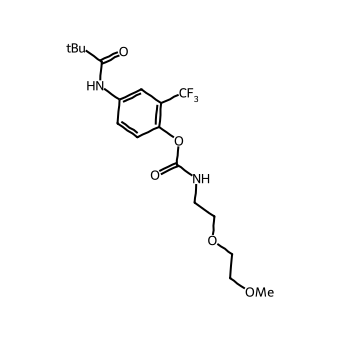 COCCOCCNC(=O)Oc1ccc(NC(=O)C(C)(C)C)cc1C(F)(F)F